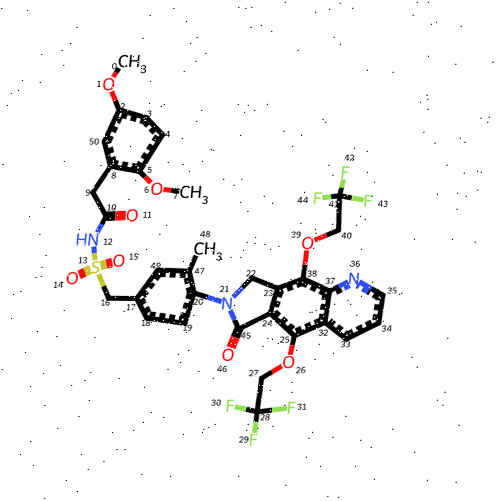 COc1ccc(OC)c(CC(=O)NS(=O)(=O)Cc2ccc(N3Cc4c(c(OCC(F)(F)F)c5cccnc5c4OCC(F)(F)F)C3=O)c(C)c2)c1